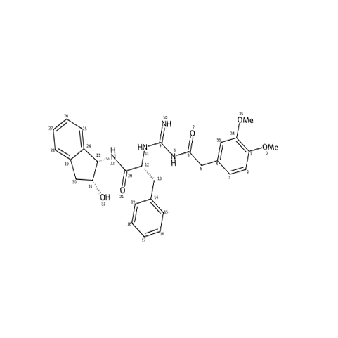 COc1ccc(CC(=O)NC(=N)N[C@H](Cc2ccccc2)C(=O)N[C@H]2c3ccccc3C[C@H]2O)cc1OC